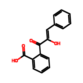 O=C(O)c1ccccc1C(=O)/C(O)=C/c1ccccc1